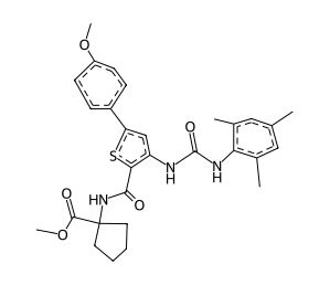 COC(=O)C1(NC(=O)c2sc(-c3ccc(OC)cc3)cc2NC(=O)Nc2c(C)cc(C)cc2C)CCCC1